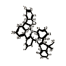 Cc1cc2c3c(c1)-n1c4c(c5cccc(c51)B3n1c3oc5ccccc5c3c3cccc-2c31)C(C)(C)c1ccccc1-4